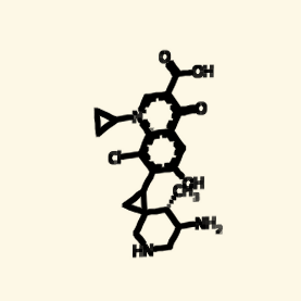 C[C@@H]1C(N)CNCC12CC2c1c(O)cc2c(=O)c(C(=O)O)cn(C3CC3)c2c1Cl